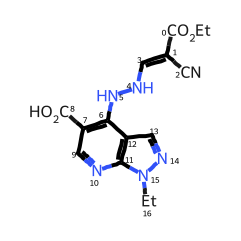 CCOC(=O)/C(C#N)=C/NNc1c(C(=O)O)cnc2c1cnn2CC